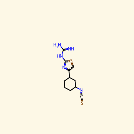 N=C(N)Nc1nc(C2CCCC(N=C=S)C2)cs1